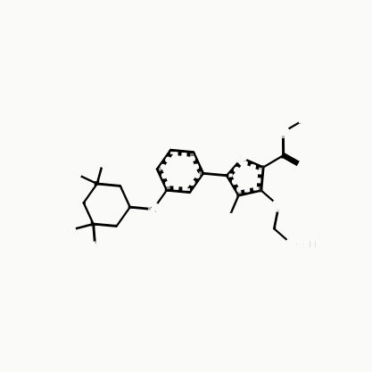 CCCOC(=O)c1sc(-c2cccc(NC3CC(C)(C)CC(C)(C)C3)c2)c(Cl)c1OCC(=O)O